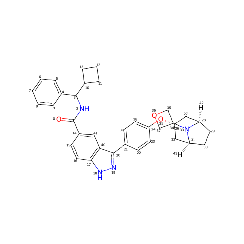 O=C(NC(c1ccccc1)C1CCC1)c1ccc2[nH]nc(-c3ccc(O[C@@H]4C[C@H]5CC[C@@H](C4)N5C4COC4)cc3)c2c1